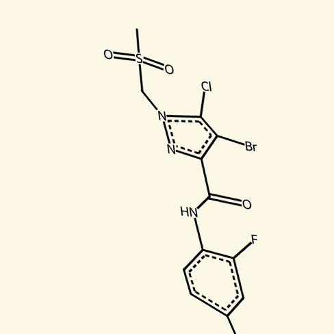 Cc1ccc(NC(=O)c2nn(CS(C)(=O)=O)c(Cl)c2Br)c(F)c1